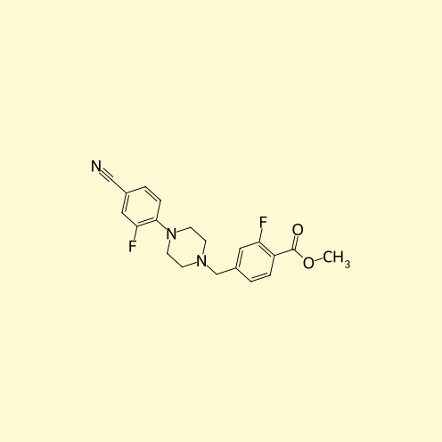 COC(=O)c1ccc(CN2CCN(c3ccc(C#N)cc3F)CC2)cc1F